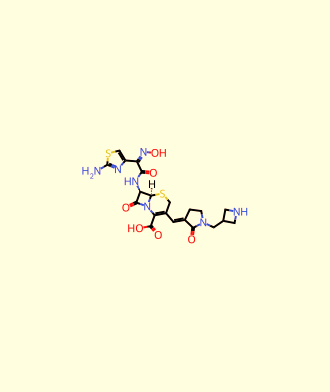 Nc1nc(/C(=N/O)C(=O)N[C@@H]2C(=O)N3C(C(=O)O)=C(C=C4CCN(CC5CNC5)C4=O)CS[C@H]23)cs1